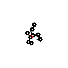 c1ccc(-c2ccc(N(c3cccc(-c4cccc5c4oc4ccccc45)c3)c3ccccc3-c3cccc(-c4cccc5ccccc45)c3)cc2)cc1